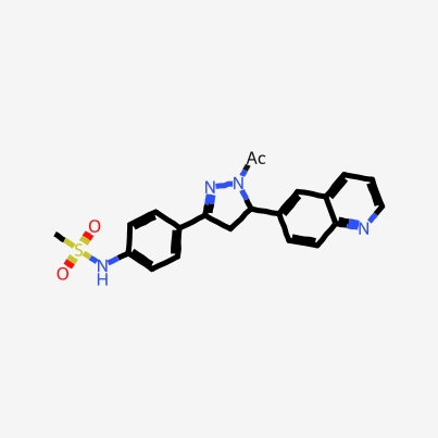 CC(=O)N1N=C(c2ccc(NS(C)(=O)=O)cc2)CC1c1ccc2ncccc2c1